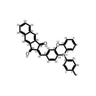 Cc1ccc(N2c3ccccc3Oc3cc(C=C4C(=O)c5cc6ccccc6cc5C4=O)ccc32)cc1